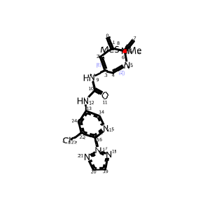 C=C(/C=C(\C=N/C(=C)SC)NC(=O)Nc1cnc(-n2nccn2)c(Cl)c1)NC